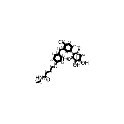 CCNC(=O)CCCOc1ccc(Cc2cc([C@H]3[C@H](O)[C@H](O)[C@H](O)C[SH]3C)ccc2Cl)cc1